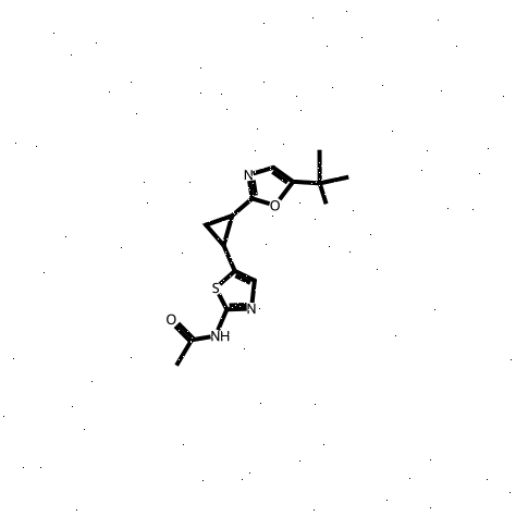 CC(=O)Nc1ncc(C2CC2c2ncc(C(C)(C)C)o2)s1